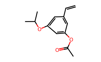 C=Cc1cc(OC(C)=O)cc(OC(C)C)c1